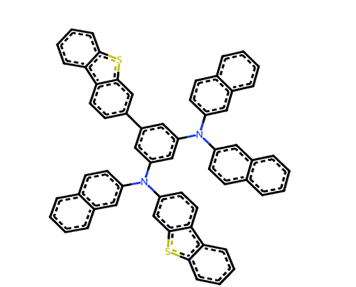 c1ccc2cc(N(c3cc(-c4ccc5c(c4)sc4ccccc45)cc(N(c4ccc5ccccc5c4)c4ccc5c(c4)sc4ccccc45)c3)c3ccc4ccccc4c3)ccc2c1